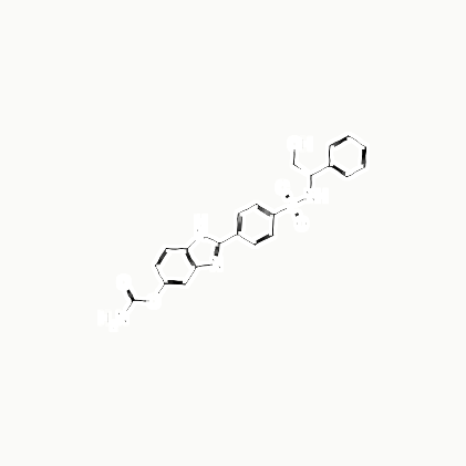 NC(=O)Oc1ccc2[nH]c(-c3ccc(S(=O)(=O)N[C@@H](CO)c4ccccc4)cc3)nc2c1